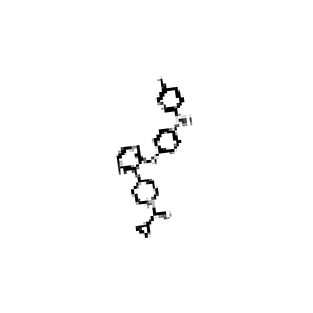 Cc1ccc(Nc2ccc(Oc3nccnc3C3CCN(C(=O)C4CC4)CC3)cc2)nc1